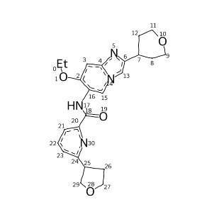 CCOc1cc2nc(C3CCOCC3)cn2cc1NC(=O)c1cccc(C2CCOC2)n1